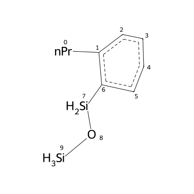 CCCc1ccccc1[SiH2]O[SiH3]